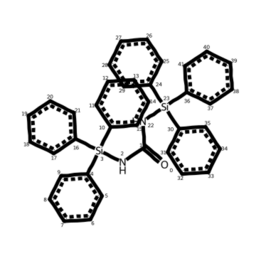 O=C(N[Si](c1ccccc1)(c1ccccc1)c1ccccc1)N[Si](c1ccccc1)(c1ccccc1)c1ccccc1